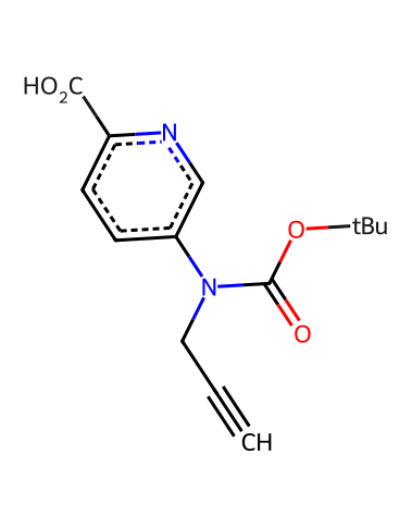 C#CCN(C(=O)OC(C)(C)C)c1ccc(C(=O)O)nc1